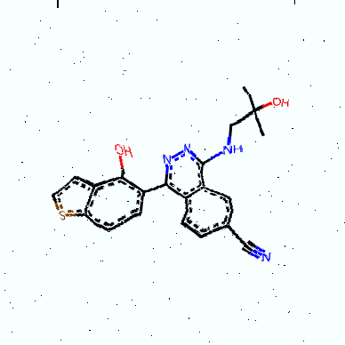 CC(C)(O)CNc1nnc(-c2ccc3sccc3c2O)c2ccc(C#N)cc12